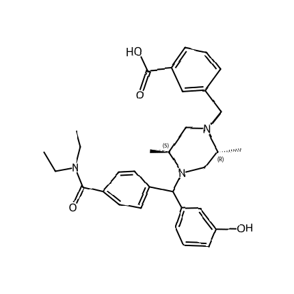 CCN(CC)C(=O)c1ccc(C(c2cccc(O)c2)N2C[C@@H](C)N(Cc3cccc(C(=O)O)c3)C[C@@H]2C)cc1